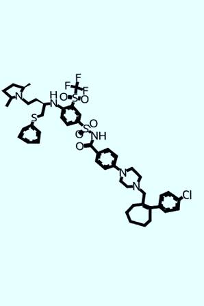 CC1CC[C@@H](C)N1CC[C@H](CSc1ccccc1)Nc1ccc(S(=O)(=O)NC(=O)c2ccc(N3CCN(CC4=C(c5ccc(Cl)cc5)CCCCC4)CC3)cc2)cc1S(=O)(=O)C(F)(F)F